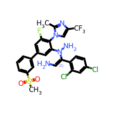 Cc1nc(C(F)(F)F)cn1-c1c(F)cc(-c2cccc(S(C)(=O)=O)c2)cc1N(N)/C(=C\N)c1ccc(Cl)cc1Cl